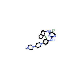 CN1CCN(C2CCN(c3ccc(Nc4ncc(Cl)c(Nc5ccc6c(c5)CCC6)n4)c(Cl)c3)CC2)CC1